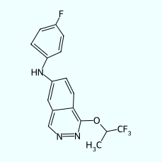 CC(Oc1nncc2cc(Nc3ccc(F)cc3)ccc12)C(F)(F)F